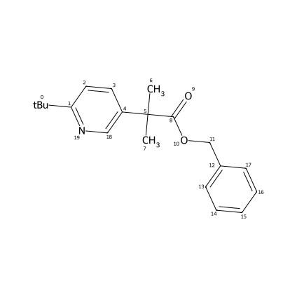 CC(C)(C)c1ccc(C(C)(C)C(=O)OCc2ccccc2)cn1